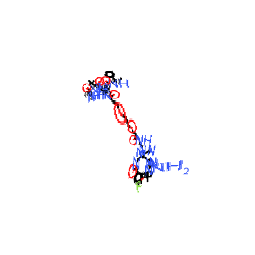 CC[C@H](NC(=O)[C@H]1C[C@@H](NC(=O)CCOCCOCCC(=O)NCCn2nc3c(c2C#N)-c2cnc(N)c(n2)N2CCC[C@@H]2c2cc(F)ccc2C(=O)N(C)C3)CN1C(=O)[C@H](NC(=O)[C@@H](C)NC)C(C)(C)C)c1ccccc1